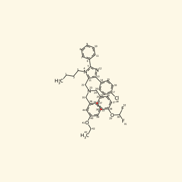 CCCCn1c(-c2ccccc2)nc(-c2ccc(Cl)cc2)c1CN(Cc1ccc(OC(F)F)cc1)Cc1cccc(OCC)c1